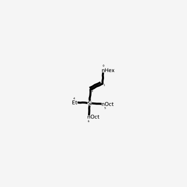 CCCCCC/C=C/[Si](CC)(CCCCCCCC)CCCCCCCC